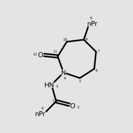 CCCC(=O)NN1CCCC(CCC)CC1=O